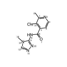 Cc1nccc(C(=O)Nc2nnnn2C)c1Cl